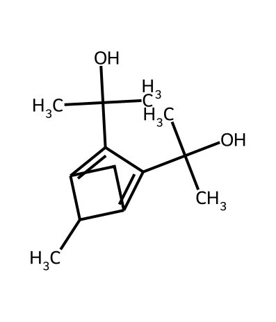 CC1C2=C(C(C)(C)O)C(C(C)(C)O)=C1C2